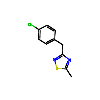 Cc1nc(Cc2ccc(Cl)cc2)ns1